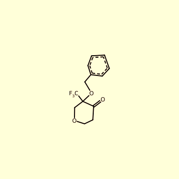 O=C1CCOCC1(OCc1ccccc1)C(F)(F)F